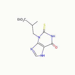 CCOC(=O)C(C)Cn1c(=S)[nH]c(=O)c2[nH]cnc21